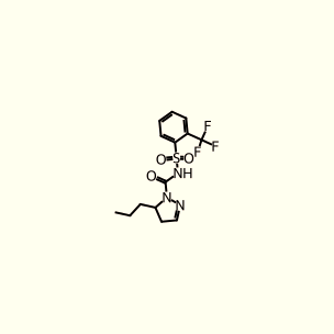 CCCC1CC=NN1C(=O)NS(=O)(=O)c1ccccc1C(F)(F)F